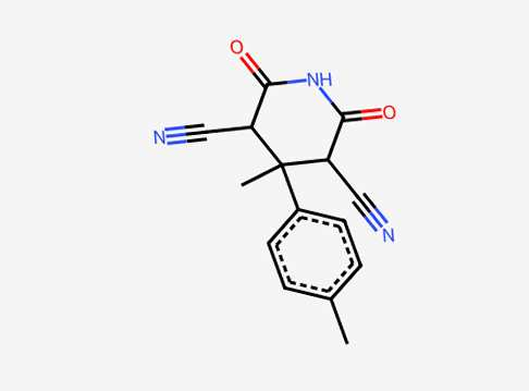 Cc1ccc(C2(C)C(C#N)C(=O)NC(=O)C2C#N)cc1